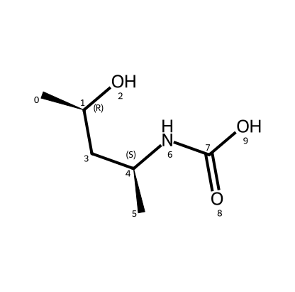 C[C@@H](O)C[C@H](C)NC(=O)O